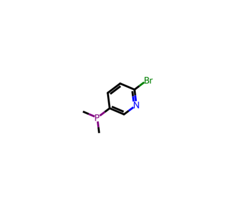 CP(C)c1ccc(Br)nc1